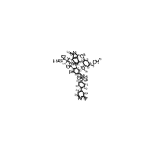 CCOCc1cc(OC)c(-c2ccc(CC(C)(NC(=O)c3c(F)cc(NS(=O)(=O)c4ccc(-c5ccnc(F)c5)cc4)cc3F)C(=O)O)c3c2cnn3C)c(OC)c1